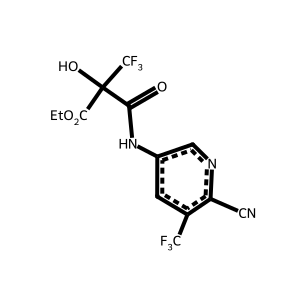 CCOC(=O)C(O)(C(=O)Nc1cnc(C#N)c(C(F)(F)F)c1)C(F)(F)F